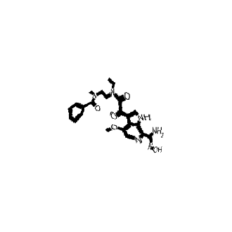 CCN(CCN(C)C(=O)c1ccccc1)C(=O)C(=O)c1c[nH]c2c(/C(N)=N/O)ncc(OC)c12